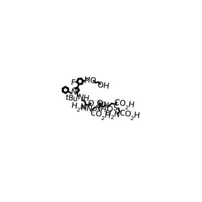 CC(C)(C)[C@@H](NCC[C@H](N)C(=O)N[C@H](CNC(=O)CNC(=O)CC(SC[C@H](N)C(=O)O)C(=O)O)C(=O)O)c1cc(-c2cc(F)ccc2F)cn1Cc1ccccc1.OCCO